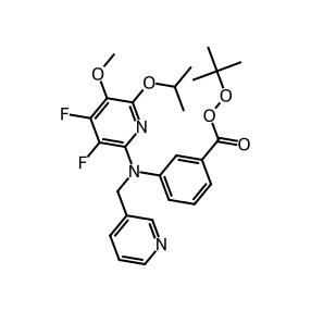 COc1c(OC(C)C)nc(N(Cc2cccnc2)c2cccc(C(=O)OOC(C)(C)C)c2)c(F)c1F